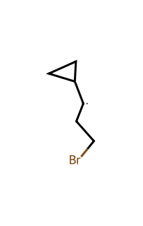 BrCC[CH]C1CC1